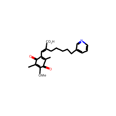 COC1=C(C)C(=O)C(C=C(CCCCCc2cccnc2)C(=O)O)=C(C)C1=O